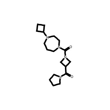 O=C(C1CN(C(=O)N2CCCN(C3CCC3)CC2)C1)N1CCCC1